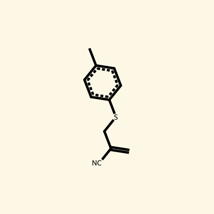 C=C(C#N)CSc1ccc(C)cc1